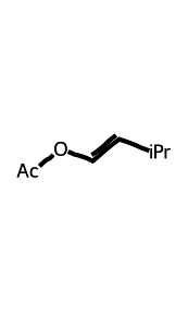 CC(=O)OC=CC(C)C